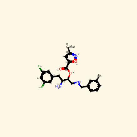 CCc1cccc(CNCC(OC(=O)c2cc(OC)no2)C(N)Cc2cc(F)cc(F)c2)c1